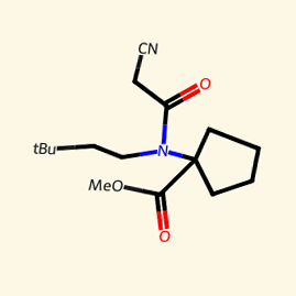 COC(=O)C1(N(CCC(C)(C)C)C(=O)CC#N)CCCC1